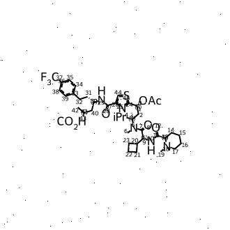 CC(=O)O[C@H](C[C@H](C(C)C)N(C)C(=O)[C@@H](NC(=O)[C@H]1CCCCN1C)C1CCC1)c1nc(C(=O)N[C@@H](CCc2ccc(C(F)(F)F)cc2)C[C@H](C)C(=O)O)cs1